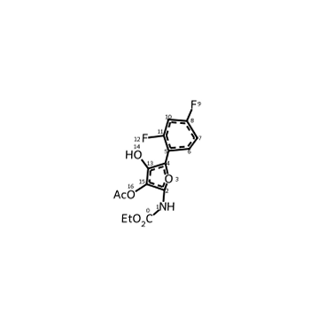 CCOC(=O)Nc1oc(-c2ccc(F)cc2F)c(O)c1OC(C)=O